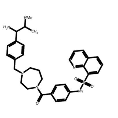 CNC(C)C(N)c1ccc(CN2CCCN(C(=O)c3ccc(NS(=O)(=O)c4cccc5cccnc45)cc3)CC2)cc1